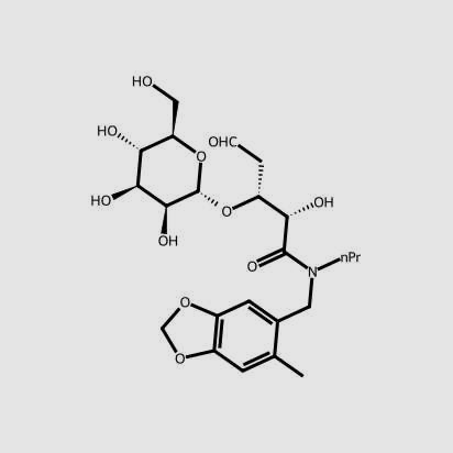 CCCN(Cc1cc2c(cc1C)OCO2)C(=O)[C@@H](O)[C@@H](CC=O)O[C@H]1O[C@H](CO)[C@@H](O)[C@H](O)[C@@H]1O